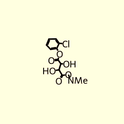 CNOC(=O)C(O)C(O)C(=O)Oc1ccccc1Cl